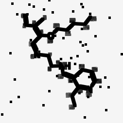 C=C/C(C)=C(\C=N/CCN/C=C1\CC=CN=C1CC)OCCCCC